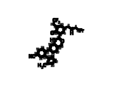 CC(C)CNCc1cc(C(=O)Nc2cc(-c3ccc(C#N)cc3-c3nncn3C)ccc2F)c(=O)n(CC(F)(F)F)c1